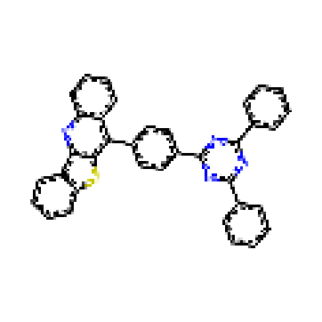 c1ccc(-c2nc(-c3ccccc3)nc(-c3ccc(-c4c5ccccc5nc5c4sc4ccccc45)cc3)n2)cc1